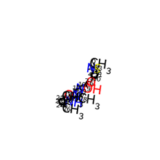 Cc1nc2cc(OCC(O)CN3CCN(CC(=O)Nc4c(C)cccc4C)C(C)C3)ccc2s1